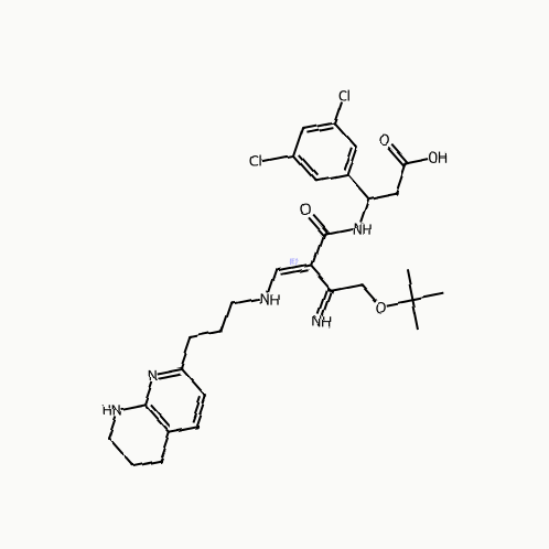 CC(C)(C)OCC(=N)/C(=C\NCCCc1ccc2c(n1)NCCC2)C(=O)NC(CC(=O)O)c1cc(Cl)cc(Cl)c1